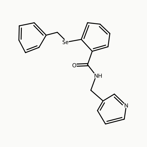 O=C(NCc1cccnc1)c1ccccc1[Se]Cc1ccccc1